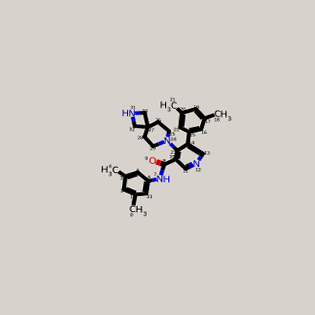 Cc1cc(C)cc(NC(=O)c2cncc(-c3cc(C)cc(C)c3)c2N2CCC3(CC2)CNC3)c1